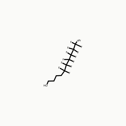 CCCC(F)(F)C(F)(F)C(F)(F)C(F)(F)C(F)(F)C(F)(F)CCCCO